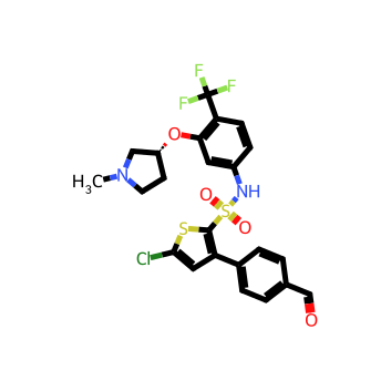 CN1CC[C@@H](Oc2cc(NS(=O)(=O)c3sc(Cl)cc3-c3ccc(C=O)cc3)ccc2C(F)(F)F)C1